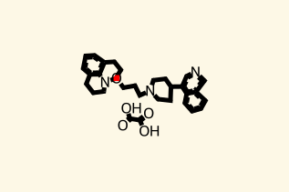 O=C(O)C(=O)O.c1cc2c3c(c1)CCC[N+]3(OCCCN1CCC(c3cncc4ccccc34)CC1)CCC2